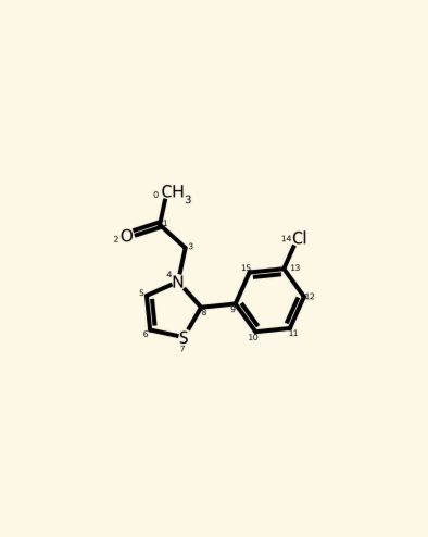 CC(=O)CN1C=CSC1c1cccc(Cl)c1